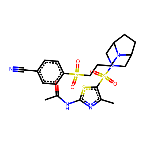 CC(=O)Nc1nc(C)c(S(=O)(=O)N2CC3CCC(C2)N3CCCS(=O)(=O)c2ccc(C#N)cc2)s1